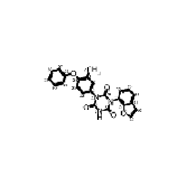 Cc1cc(-n2c(=O)[nH]c(=O)n(-c3cccc4ccoc34)c2=O)ccc1Oc1ccccc1